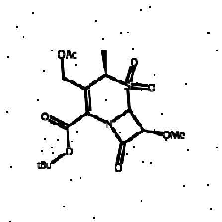 CO[C@H]1C(=O)N2C(C(=O)OC(C)(C)C)=C(COC(C)=O)[C@@H](C)S(=O)(=O)C12